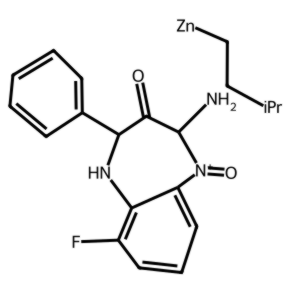 CC(C)C[CH2][Zn].NC1C(=O)C(c2ccccc2)Nc2c(F)cccc2[N+]1=O